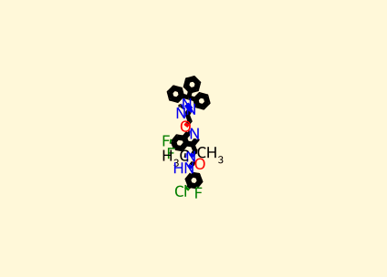 CC(c1cnc(OCc2ncn(C(c3ccccc3)(c3ccccc3)c3ccccc3)n2)c2cc(F)c(F)cc12)N(C)C(=O)Nc1ccc(F)c(Cl)c1